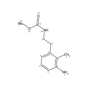 Cc1c(N)cccc1CCNC(=O)OC(C)(C)C